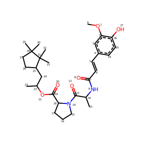 COc1cc(/C=C/C(=O)NC(C)C(=O)N2CCCC2C(=O)OC(C)CC2CCC(C)(C)C2(C)C)ccc1O